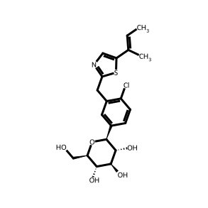 C/C=C(\C)c1cnc(Cc2cc([C@@H]3O[C@H](CO)[C@@H](O)[C@H](O)[C@H]3O)ccc2Cl)s1